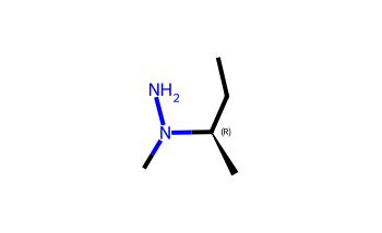 CC[C@@H](C)N(C)N